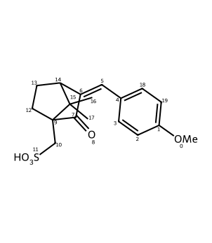 COc1ccc(/C=C2\C(=O)C3(CS(=O)(=O)O)CCC2C3(C)C)cc1